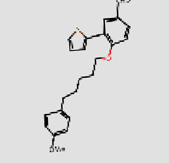 COc1ccc(CCCCCOc2ccc(C=O)cc2-c2cccs2)cc1